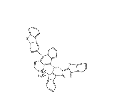 CC1(C)c2ccccc2-c2c1c(-c1c3ccccc3c(-c3ccc4sc5ccccc5c4c3)c3ccccc13)cc1c2ccc2c3ccccc3sc12